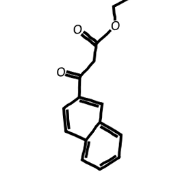 CCOC(=O)CC(=O)c1ccc2ccccc2c1